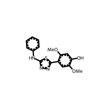 COc1cc(-c2nnc(Nc3ccccc3)s2)c(OC)cc1O